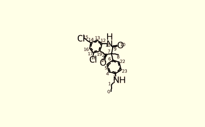 CCNc1ccc(C2(C)C(=O)Nc3cc(Cl)cc(Cl)c3C2=O)cc1